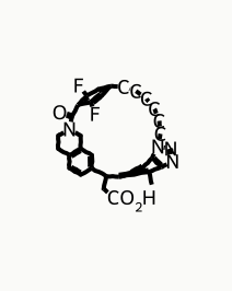 Cc1c2ccc3c1nnn3CCCCCCc1cc(F)c(c(F)c1)C(=O)N1CCc3ccc(cc3C1)C2CC(=O)O